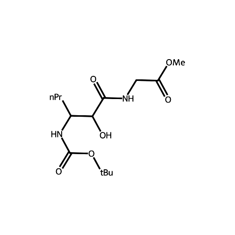 CCCC(NC(=O)OC(C)(C)C)C(O)C(=O)NCC(=O)OC